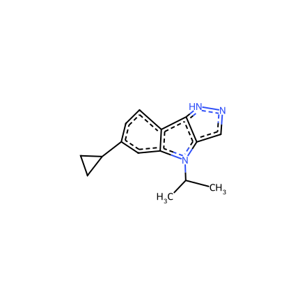 CC(C)n1c2cc(C3CC3)ccc2c2[nH]ncc21